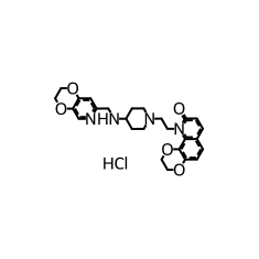 Cl.O=c1ccc2ccc3c(c2n1CCN1CCC(NCc2cc4c(cn2)OCCO4)CC1)OCCO3